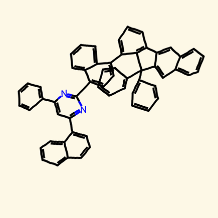 c1ccc(-c2cc(-c3cccc4ccccc34)nc(-c3ccc(-c4cccc5c4C(c4ccccc4)(c4ccccc4)c4cc6ccccc6cc4-5)c4ccccc34)n2)cc1